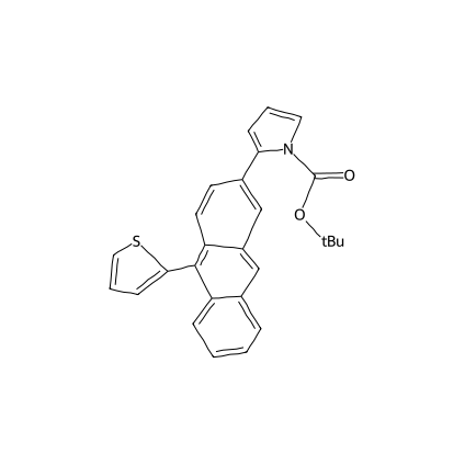 CC(C)(C)OC(=O)n1cccc1-c1ccc2c(-c3cccs3)c3ccccc3cc2c1